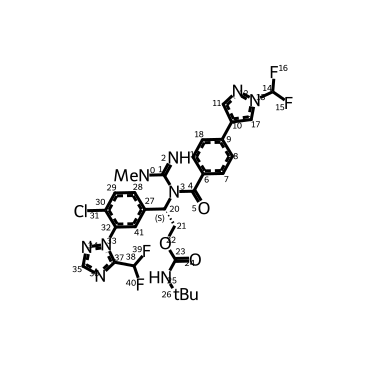 CNC(=N)N(C(=O)c1ccc(-c2cnn(C(F)F)c2)cc1)[C@H](COC(=O)NC(C)(C)C)c1ccc(Cl)c(-n2ncnc2C(F)F)c1